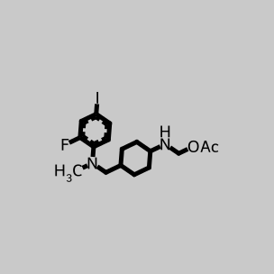 CC(=O)OCNC1CCC(CN(C)c2ccc(I)cc2F)CC1